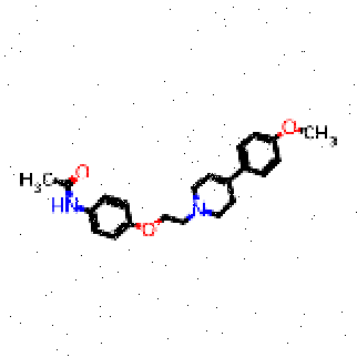 COc1ccc(C2=CCN(CCOc3ccc(NC(C)=O)cc3)CC2)cc1